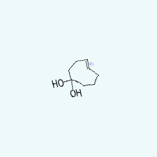 OC1(O)CC/C=C/CCC1